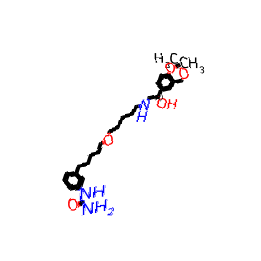 CC1(C)OCc2cc([C@@H](O)CNCCCCCOCCCCCc3cccc(NC(N)=O)c3)ccc2O1